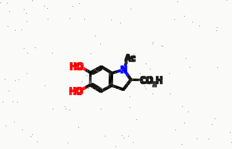 CC(=O)N1c2cc(O)c(O)cc2CC1C(=O)O